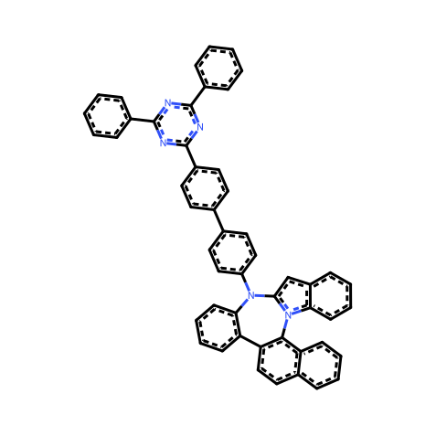 c1ccc(-c2nc(-c3ccccc3)nc(-c3ccc(-c4ccc(N5c6ccccc6-c6ccc7ccccc7c6-n6c5cc5ccccc56)cc4)cc3)n2)cc1